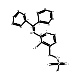 CS(=O)(=O)OCc1ccnc(N=C(c2ccccc2)c2ccccc2)c1F